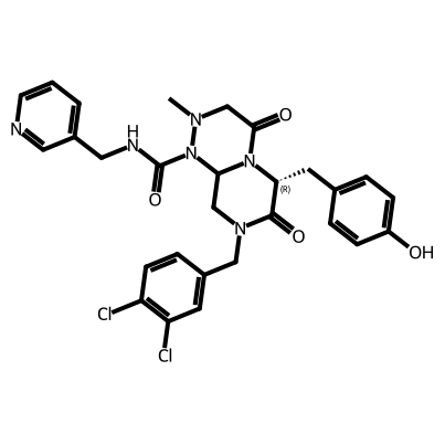 CN1CC(=O)N2C(CN(Cc3ccc(Cl)c(Cl)c3)C(=O)[C@H]2Cc2ccc(O)cc2)N1C(=O)NCc1cccnc1